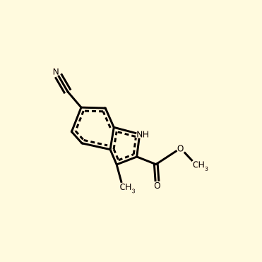 COC(=O)c1[nH]c2cc(C#N)ccc2c1C